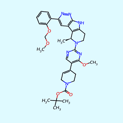 COCOc1ccccc1-c1cc2c3c([nH]c2nn1)CCN(c1ncc(C2=CCN(C(=O)OC(C)(C)C)CC2)c(OC)n1)[C@H]3C